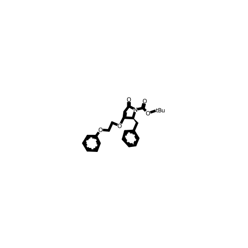 CC(C)(C)OC(=O)N1C(=O)C=C(OCCOc2ccccc2)[C@@H]1Cc1ccccc1